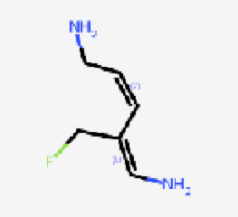 N/C=C(\C=C/CN)CF